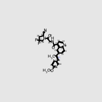 COc1ccc(/C=C(\C)c2ccc3nccc(C(=O)NCC(=O)N4CC(F)(F)CC4C#N)c3c2)cn1